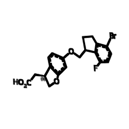 O=C(O)C[C@@H]1COc2cc(OCC3CCc4c(Br)ccc(F)c43)ccc21